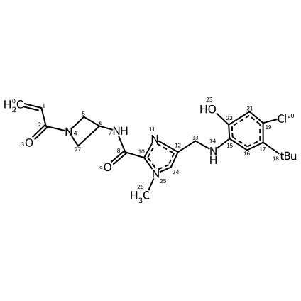 C=CC(=O)N1CC(NC(=O)c2nc(CNc3cc(C(C)(C)C)c(Cl)cc3O)cn2C)C1